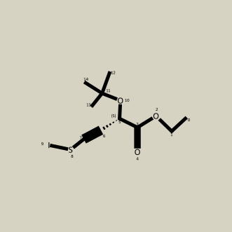 CCOC(=O)[C@H](C#CSI)OC(C)(C)C